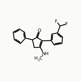 CNC1=C(c2cccc(C(F)F)c2)C(=O)C(c2ccccc2)C1